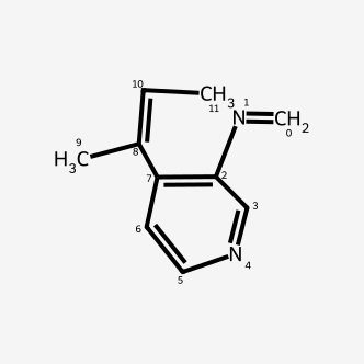 C=Nc1cnccc1/C(C)=C\C